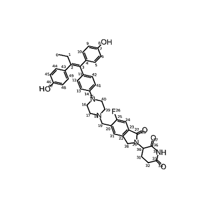 CCC(=C(c1ccc(O)cc1)c1ccc(N2CCN(Cc3cc4c(cc3F)C(=O)N(C3CCC(=O)NC3=O)C4)CC2)cc1)c1ccc(O)cc1